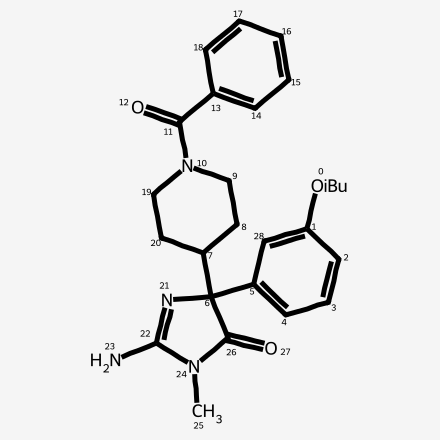 CC(C)COc1cccc(C2(C3CCN(C(=O)c4ccccc4)CC3)N=C(N)N(C)C2=O)c1